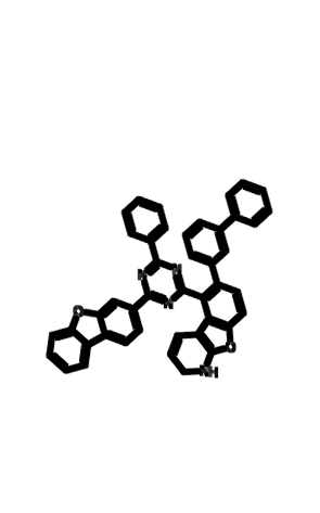 C1=Cc2c(oc3ccc(-c4cccc(-c5ccccc5)c4)c(-c4nc(-c5ccccc5)nc(-c5ccc6c(c5)oc5ccccc56)n4)c23)NC1